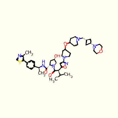 Cc1ncsc1-c1ccc([C@H](C)NC(=O)[C@@H]2C[C@@H](O)CN2C(=O)[C@@H](c2cc(N3CCC(OC4CCN(C[C@H]5C[C@@H](N6CCOCC6)C5)CC4)CC3)no2)C(C)C)cc1